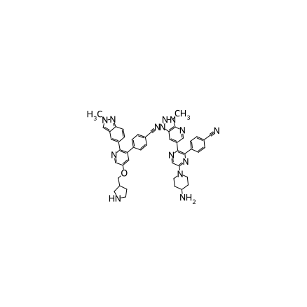 Cn1cc2cc(-c3ncc(OCC4CCNC4)cc3-c3ccc(C#N)cc3)ccc2n1.Cn1nnc2cc(-c3ncc(N4CCC(N)CC4)nc3-c3ccc(C#N)cc3)cnc21